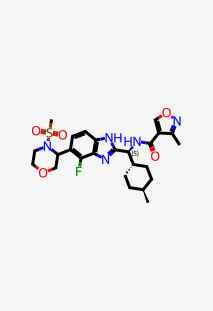 Cc1nocc1C(=O)N[C@H](c1nc2c(F)c(C3COCCN3S(C)(=O)=O)ccc2[nH]1)[C@H]1CC[C@H](C)CC1